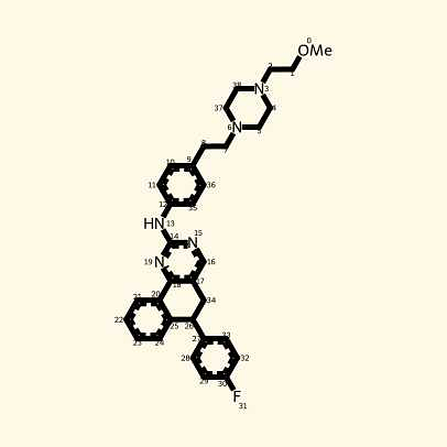 COCCN1CCN(CCc2ccc(Nc3ncc4c(n3)-c3ccccc3C(c3ccc(F)cc3)C4)cc2)CC1